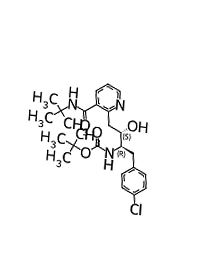 CC(C)(C)NC(=O)c1cccnc1C[C@H](O)[C@@H](Cc1ccc(Cl)cc1)NC(=O)OC(C)(C)C